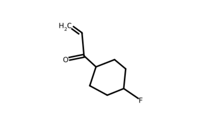 C=CC(=O)C1CCC(F)CC1